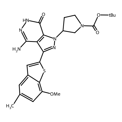 COc1cc(C)cc2cc(-c3nn(C4CCN(C(=O)OC(C)(C)C)C4)c4c(=O)[nH]nc(N)c34)sc12